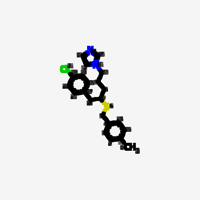 Cc1ccc(CSC(CCCn2ccnc2)Cc2ccc(Cl)cc2)cc1